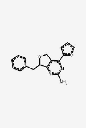 Nc1nc(-c2ccco2)c2c(n1)C(Cc1ccccc1)OC2